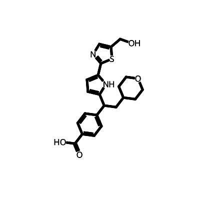 O=C(O)c1ccc(C(CC2CCOCC2)c2ccc(-c3ncc(CO)s3)[nH]2)cc1